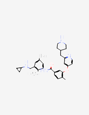 COc1c(CNC2CC2)cc(C(C)(C)C)cc1NC(=O)c1ccc(C)c(Oc2ccnc(CC3CCNCC3)c2)c1